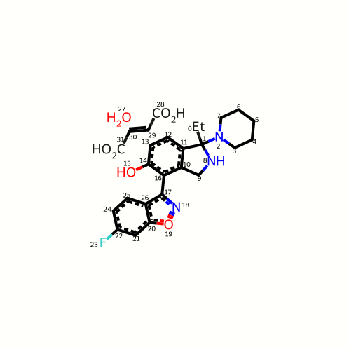 CCC1(N2CCCCC2)NCc2c1ccc(O)c2-c1noc2cc(F)ccc12.O.O=C(O)C=CC(=O)O